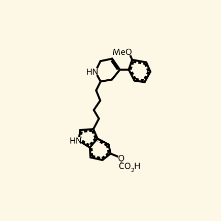 COc1ccccc1C1=CCNC(CCCCc2c[nH]c3ccc(OC(=O)O)cc23)C1